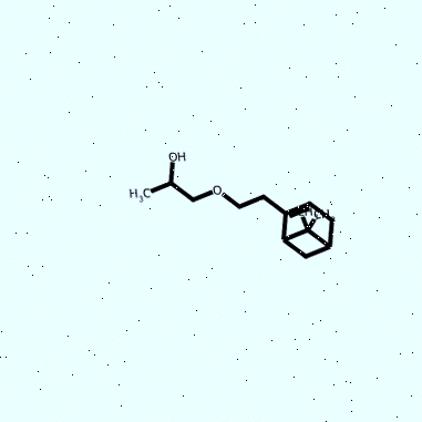 CC(O)COCCC1=CCC2CC1C2(C)C